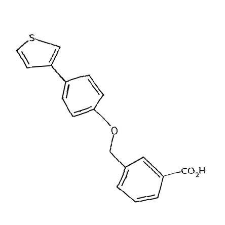 O=C(O)c1cccc(COc2ccc(-c3ccsc3)cc2)c1